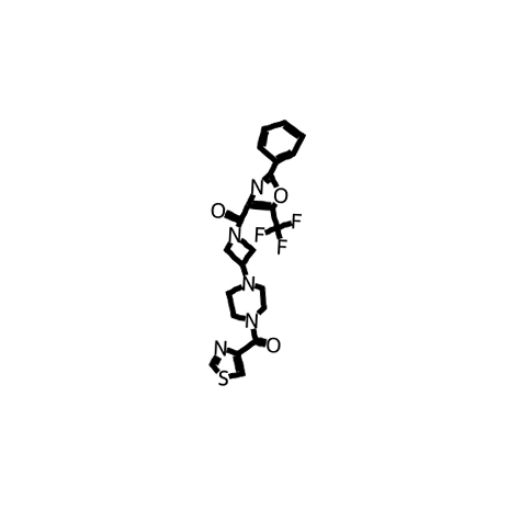 O=C(c1cscn1)N1CCN(C2CN(C(=O)c3nc(-c4ccccc4)oc3C(F)(F)F)C2)CC1